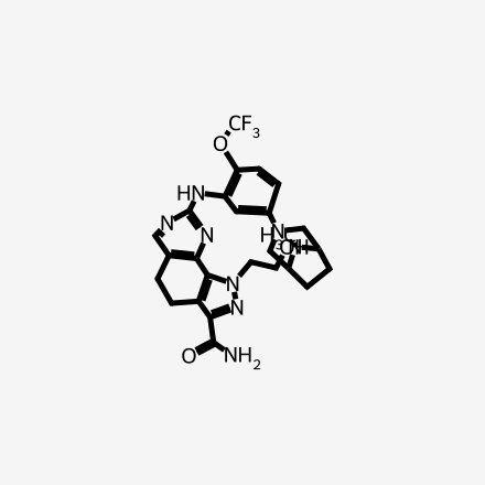 CN1C2CCC1CN(c1ccc(OC(F)(F)F)c(Nc3ncc4c(n3)-c3c(c(C(N)=O)nn3CCO)CC4)c1)C2